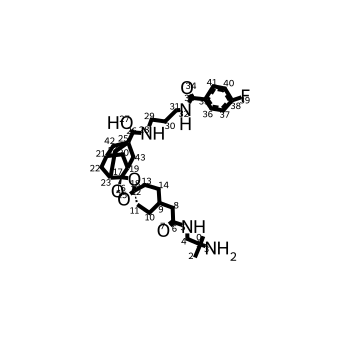 CC(C)(N)CNC(=O)CC1CC[C@]2(CC1)OO[C@]1(O2)C2CC3CC1CC(C(O)NCCCNC(=O)c1ccc(F)cc1)(C3)C2